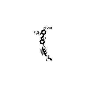 C=CC(=O)OCC(F)(F)C(F)(F)C(F)(F)CSc1ccc2cc(-c3ccc(CCCCC)cc3OC(F)(F)F)oc2c1